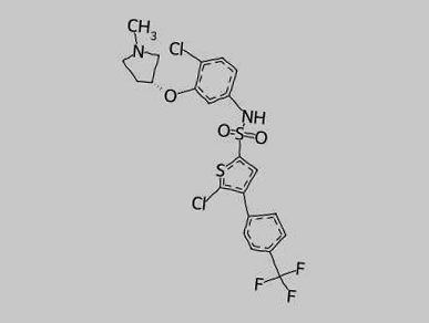 CN1CC[C@@H](Oc2cc(NS(=O)(=O)c3cc(-c4ccc(C(F)(F)F)cc4)c(Cl)s3)ccc2Cl)C1